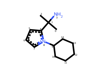 CC(C)(N)c1cccn1C1CCCCC1